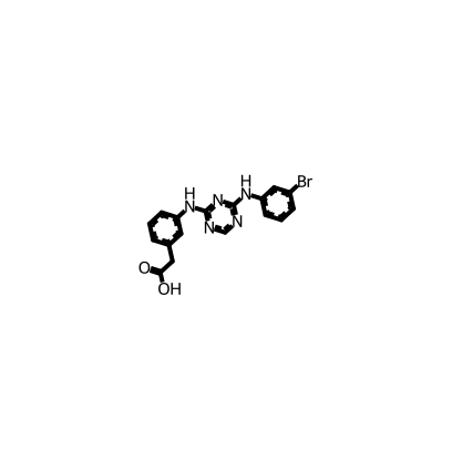 O=C(O)Cc1cccc(Nc2ncnc(Nc3cccc(Br)c3)n2)c1